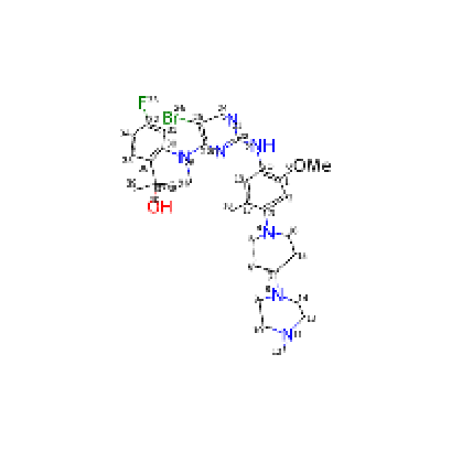 COc1cc(N2CCC(N3CCN(C)CC3)CC2)c(C)cc1Nc1ncc(Br)c(N(C)c2cc(F)ccc2C(C)(C)O)n1